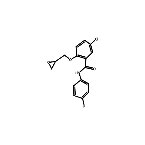 O=C(Nc1ccc(F)cc1)c1cc(Cl)ccc1OCC1CO1